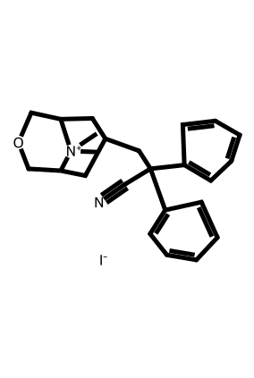 C[N+]1(C)C2COCC1CC(CC(C#N)(c1ccccc1)c1ccccc1)C2.[I-]